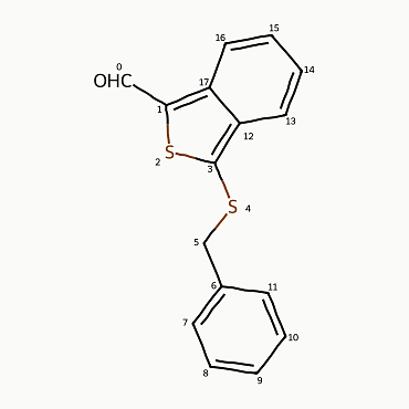 O=Cc1sc(SCc2ccccc2)c2ccccc12